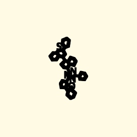 c1ccc(-c2nc(-c3ccc(-c4cc5c6ccccc6sc5c5ccccc45)c4ccccc34)nc(-c3cccc4c3oc3ccccc34)n2)cc1